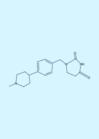 CN1CCC(c2ccc(CN3CCC(=O)NC3=O)cc2)CC1